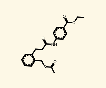 CCOC(=O)c1ccc(NC(=O)CCc2ccccc2CSC(C)=O)cc1